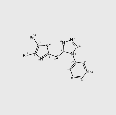 Brc1nc(Sc2nnnn2-c2cccnc2)sc1Br